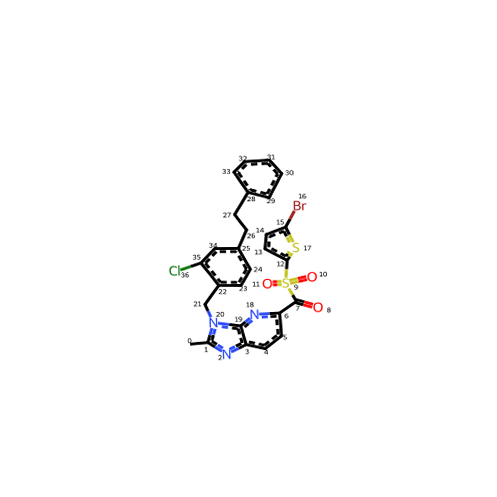 Cc1nc2ccc(C(=O)S(=O)(=O)c3ccc(Br)s3)nc2n1Cc1ccc(CCc2ccccc2)cc1Cl